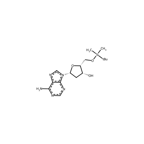 CC(C)(C)[Si](C)(C)OC[C@H]1O[C@@H](n2cnc3c(N)ncnc32)C[C@H]1O